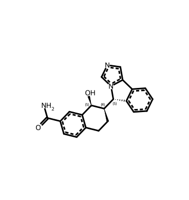 NC(=O)c1ccc2c(c1)[C@@H](O)[C@@H]([C@H]1c3ccccc3-c3cncn31)CC2